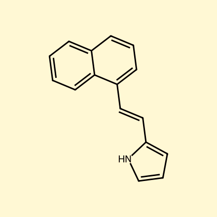 C(=Cc1cccc2ccccc12)c1ccc[nH]1